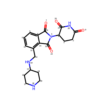 O=C1CCC(N2C(=O)c3cccc(CNC4CCNCC4)c3C2=O)C(=O)N1